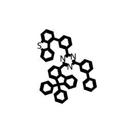 c1ccc(-c2cccc(-c3nc(-c4cccc(-c5cccc6sc7ccccc7c56)c4)nc(-c4cccc5c4-c4ccccc4C5(c4ccccc4)c4ccccc4)n3)c2)cc1